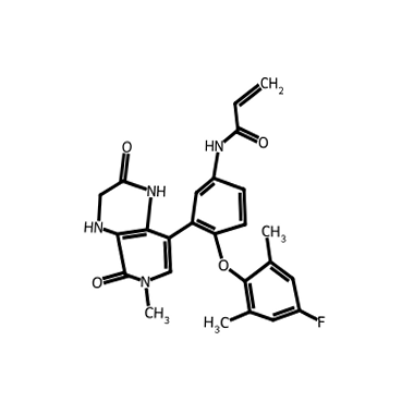 C=CC(=O)Nc1ccc(Oc2c(C)cc(F)cc2C)c(-c2cn(C)c(=O)c3c2NC(=O)CN3)c1